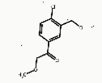 COCC(=O)c1ccc(Cl)c(C[O])c1